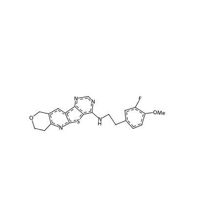 COc1ccc(CCNc2ncnc3c2sc2nc4c(cc23)COCC4)cc1F